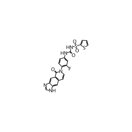 O=C(Nc1ccc(-n2ccc3cc4[nH]cnc4cc3c2=O)c(F)c1)NS(=O)(=O)c1cccs1